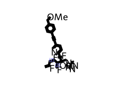 C=C(F)/C=C\C(=C\F)C(O)(Cn1cnnn1)C(F)(F)c1ccc(C#Cc2ccc(COC)cc2)cn1